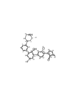 C[C@@H]1CN(c2cccc(-c3cc(F)cc(-c4ccc(-n5ccn(C)c5=O)c(Cl)c4)c3O)c2)CCN1